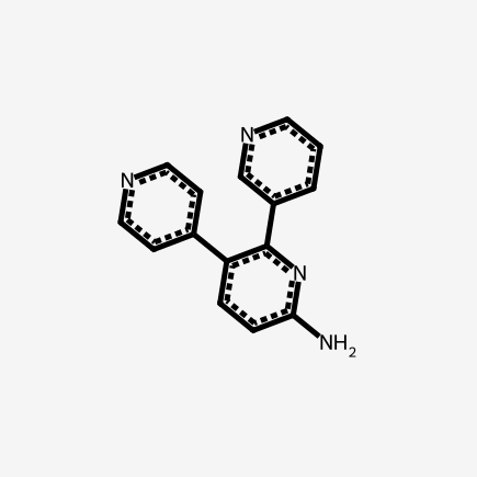 Nc1ccc(-c2ccncc2)c(-c2cccnc2)n1